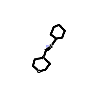 [C](=N\C1CCCCC1)/N1CCOCC1